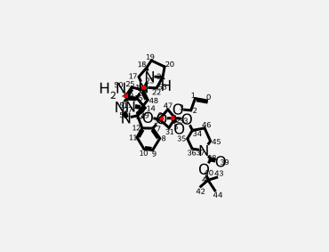 C=CCOC(=O)Oc1ccccc1-c1cc(N2CC3CC[C@H](C2)N3c2ccnc(OC3CC(OC4CCN(C(=O)OC(C)(C)C)CC4)C3)c2)c(N)nn1